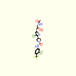 CC(=O)NC[C@H](O)Cc1cnc(C2=CCN(C(=O)Nc3ccc(C(F)(F)F)c(Cl)c3)CC2)c(Cl)c1